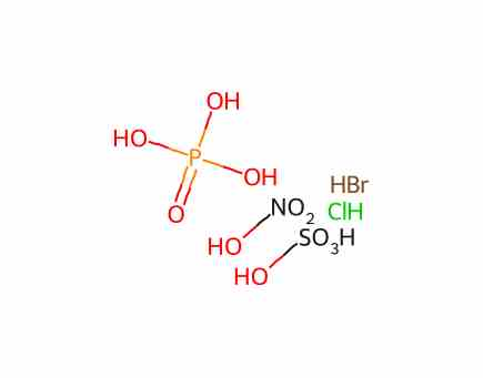 Br.Cl.O=P(O)(O)O.O=S(=O)(O)O.O=[N+]([O-])O